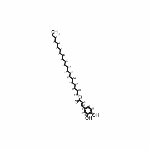 CCCCCCCCCCCCCCCCCCCCCCOC(=O)/C=C/c1ccc(O)c(O)c1